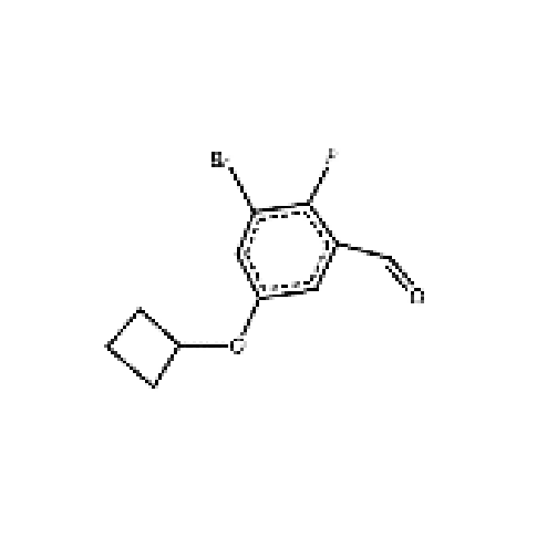 O=Cc1cc(OC2CCC2)cc(Br)c1F